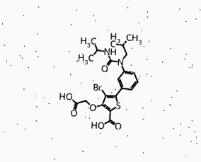 CC(C)CN(C(=O)NC(C)C)c1cccc(-c2sc(C(=O)O)c(OCC(=O)O)c2Br)c1